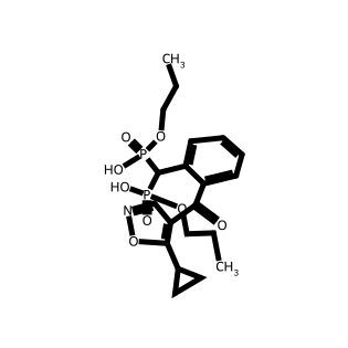 CCCOP(=O)(O)C(c1ccccc1C(=O)c1cnoc1C1CC1)P(=O)(O)OCCC